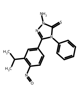 CC(C)c1cc(-c2nn(N)c(=S)n2-c2ccccc2)ccc1N=O